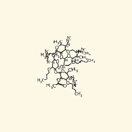 CCCCOC[C@@H](O[C@H]1OC(C)[C@@H](N=[N+]=[N-])C(OCCCC)[C@H]1O[C@H]1OC(C)[C@@H](N=[N+]=[N-])C(OCCCC)[C@H]1OC(C)=O)[C@H](OC(C)[C@H](C)N=[N+]=[N-])O[C@@H]1C(OCCCC)[C@H](N=[N+]=[N-])C(C)O[C@@H]1SCC